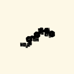 O=C(O)O[C@H]1CCCN(C[C@@H](O)c2ccc(-c3noc(-c4cnn(-c5ccccc5)c4C(F)(F)F)n3)cc2)C1